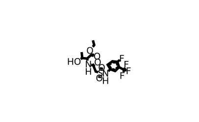 CCOC(=O)C(NC(=O)CS(=O)(=O)Nc1ccc(F)c(C(F)(F)F)c1)C(C)O